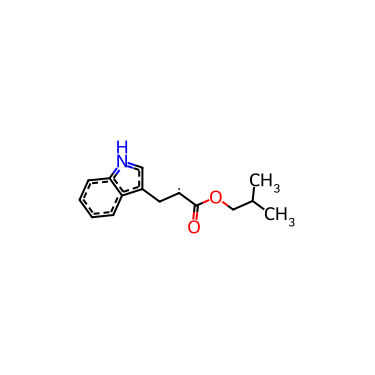 CC(C)COC(=O)[CH]Cc1c[nH]c2ccccc12